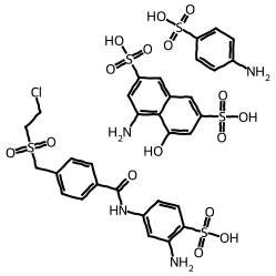 Nc1cc(NC(=O)c2ccc(CS(=O)(=O)CCCl)cc2)ccc1S(=O)(=O)O.Nc1cc(S(=O)(=O)O)cc2cc(S(=O)(=O)O)cc(O)c12.Nc1ccc(S(=O)(=O)O)cc1